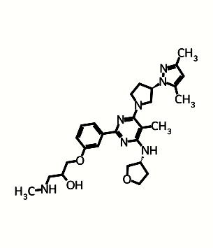 CNCC(O)COc1cccc(-c2nc(N[C@@H]3CCOC3)c(C)c(N3CC[C@@H](n4nc(C)cc4C)C3)n2)c1